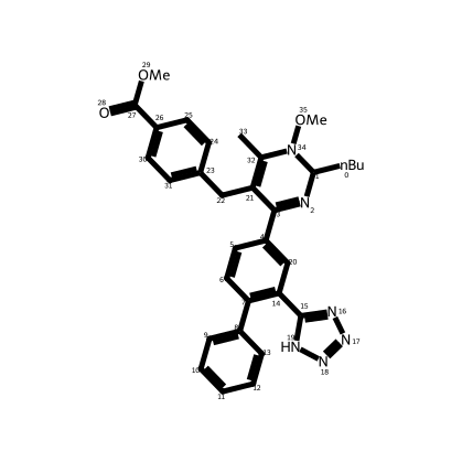 CCCCC1N=C(c2ccc(-c3ccccc3)c(-c3nnn[nH]3)c2)C(Cc2ccc(C(=O)OC)cc2)=C(C)N1OC